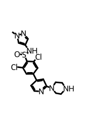 Cn1cc(N[S+]([O-])c2c(Cl)cc(-c3ccnc(N4CCNCC4)c3)cc2Cl)cn1